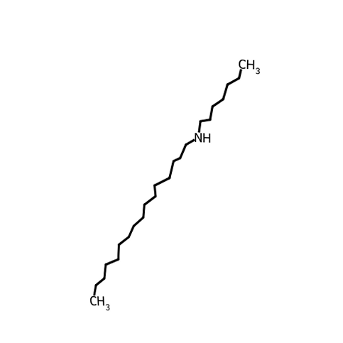 CCCCCCCCCCCCCCCCNCCCCCCC